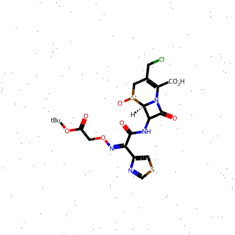 CC(C)(C)OC(=O)CO/N=C(\C(=O)NC1C(=O)N2C(C(=O)O)=C(CCl)C[S+]([O-])[C@H]12)c1cscn1